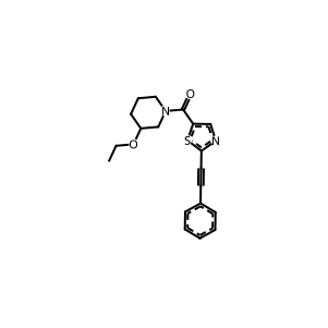 CCOC1CCCN(C(=O)c2cnc(C#Cc3ccccc3)s2)C1